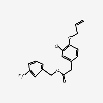 C=CCOc1ccc(CC(=O)OCc2cccc(C(F)(F)F)c2)cc1Cl